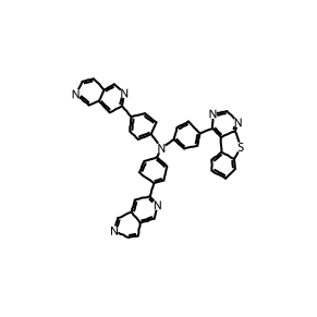 c1ccc2c(c1)sc1ncnc(-c3ccc(N(c4ccc(-c5cc6cnccc6cn5)cc4)c4ccc(-c5cc6cnccc6cn5)cc4)cc3)c12